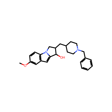 COc1ccc2c(c1)cc1n2CC(CC2CCN(Cc3ccccc3)CC2)C1O